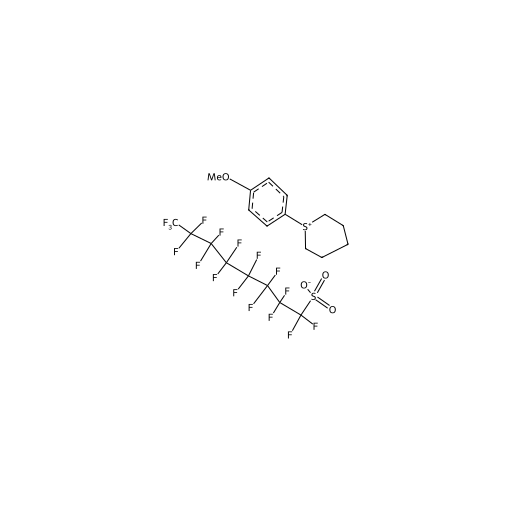 COc1ccc([S+]2CCCCC2)cc1.O=S(=O)([O-])C(F)(F)C(F)(F)C(F)(F)C(F)(F)C(F)(F)C(F)(F)C(F)(F)C(F)(F)F